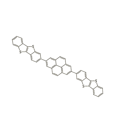 c1ccc2c(c1)sc1c3ccc(-c4cc5ccc6cc(-c7ccc8c(c7)sc7c9ccccc9sc87)cc7ccc(c4)c5c67)cc3sc21